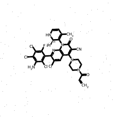 C=CC(=O)N1CCN(c2c(C#N)c(=O)n(C3=C(C)C=CN[C@@H]3C(C)C)c3nc(-c4c(F)c(Cl)c(Cl)c(N)c4Cl)c(Cl)cc23)CC1